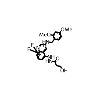 COc1ccc(CNN2C=NC34OC(F)(F)OC3=CC=C(NNC(=O)CCO)C4=C2)c(OC)c1